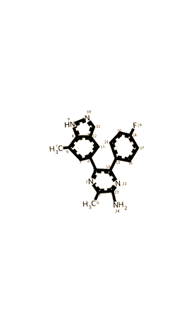 Cc1nc(-c2cc(C)c3[nH]ncc3c2)c(-c2ccc(F)cc2)nc1N